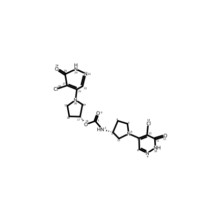 O=C(N[C@@H]1CCN(c2cn[nH]c(=O)c2Cl)C1)O[C@@H]1CCN(c2cn[nH]c(=O)c2Cl)C1